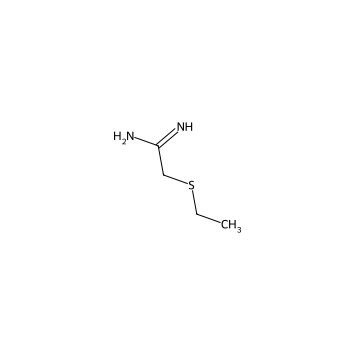 CCSCC(=N)N